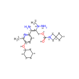 Cc1nc(/C(N)=C(\COC(=O)N2CC3(CCC3)C2)N(C)N)ccc1OC1CCCCC1